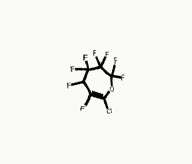 FC1=C(Cl)OC(F)(F)C(F)(F)C(F)(F)C1F